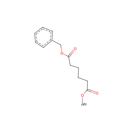 CCCOC(=O)CCCCC(=O)OCc1ccccc1